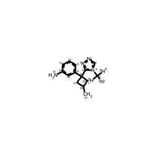 [2H]C([2H])([2H])n1cnnc1C1(c2cccc(N)c2)CC(C)C1